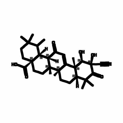 CC1[C@H]2[C@H]3C(=O)C=C4[C@@]5(C)[C@@H](O)[C@](O)(C#N)C(=O)C(C)(C)[C@@H]5CC[C@@]4(C)[C@]3(C)CC[C@@]2(C(=O)O)CCC1(C)C